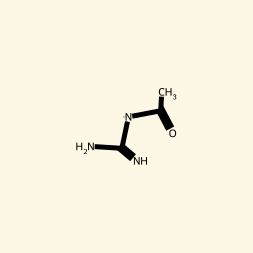 CC(=O)[N]C(=N)N